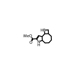 COC(=O)C1=CC2C(CCCCC3CBC32)N1